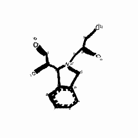 O=CC(=O)C1c2ccccc2CN1CC(=O)CCl